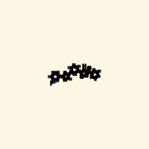 O=C(NS(=O)(=O)c1ccccc1)c1cccc(-c2cnc(-c3cncc(F)c3)s2)n1